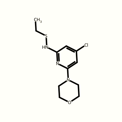 CCSNc1cc(Cl)cc(N2CCOCC2)n1